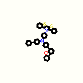 C1=CCC2Oc3c(cccc3-c3ccc(N(c4ccc(-c5ccccc5)cc4)c4ccc(-n5c6c7ccccc7sc6c6sc7ccccc7c65)cc4)cc3)C2=C1